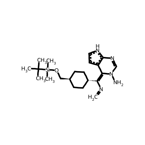 C=N/C(=C1/c2cc[nH]c2N=CN1N)[C@H]1CC[C@H](CO[Si](C)(C)C(C)(C)C)CC1